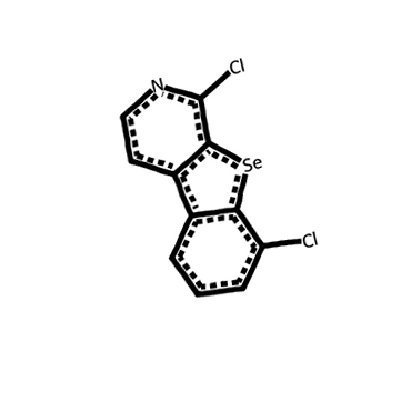 Clc1cccc2c1[se]c1c(Cl)nccc12